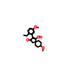 CCc1ccc(OC)cc1C1=C(O)C2(CCC(OC)CC2)CC1=O